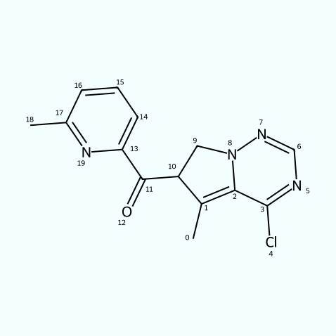 CC1=C2C(Cl)=NC=NN2CC1C(=O)c1cccc(C)n1